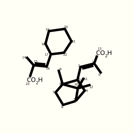 CC(=CC1CC2CCC1(C)C2(C)C)C(=O)O.CC(=CC1CCCCC1)C(=O)O